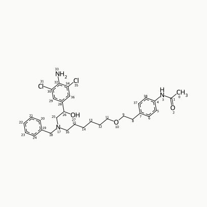 CC(=O)Nc1ccc(CCOCCCCCCN(Cc2ccccc2)CC(O)c2cc(Cl)c(N)c(Cl)c2)cc1